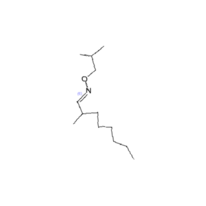 CCCCCCC(C)/C=N/OCC(C)C